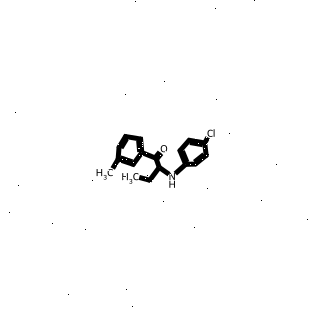 CCC(Nc1ccc(Cl)cc1)C(=O)c1cccc(C)c1